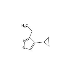 CCC1=N[N]C=C1C1CC1